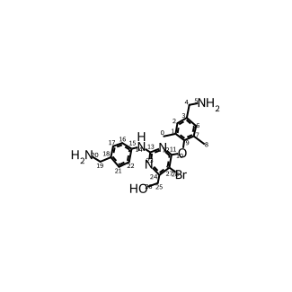 Cc1cc(CN)cc(C)c1Oc1nc(Nc2ccc(CN)cc2)nc(CO)c1Br